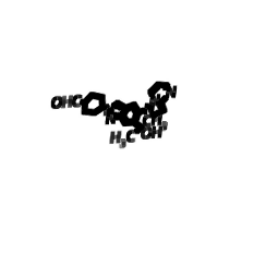 CC(C)(O)c1cc2nn(C3CCC(C=O)CC3)cc2cc1N1CC=C2N=CC=CN21